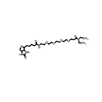 CCN(CC)C(=O)CCOCCOCCOCCOCCNC(=O)CCCCC1SCC2NC(=O)NC21